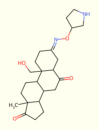 CC12CCC3C(CC(=O)C4CC(=NOC5CCNC5)CCC43CO)C1CCC2=O